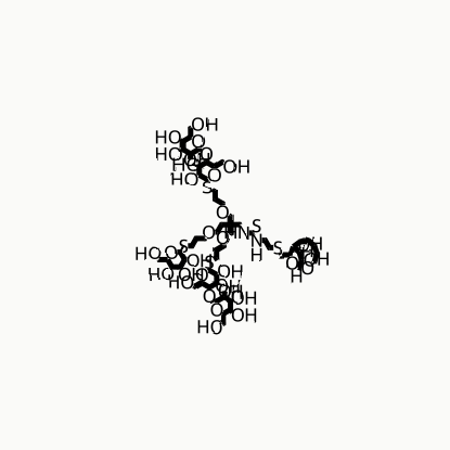 OCC1O[C@@H](SCCCOCCC(CNC(=S)NCCSCC2O[C@@H]3OCCCCCC2[C@H](O)C3O)(COCCCS[C@@H]2OC(CO)[C@@H](O[C@@H]3OC(CO)[C@H](O)[C@H](O)C3O)[C@H](O)C2O)COCCCS[C@@H]2OC(CO)[C@@H](O[C@@H]3OC(CO)[C@H](O)[C@H](O)C3O)[C@H](O)C2O)C(O)[C@@H](O)[C@@H]1O